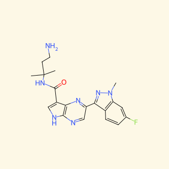 Cn1nc(-c2cnc3[nH]cc(C(=O)NC(C)(C)CCN)c3n2)c2ccc(F)cc21